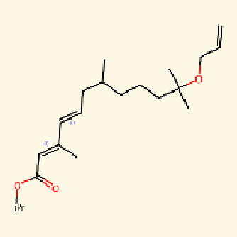 C=CCOC(C)(C)CCCC(C)C/C=C/C(C)=C/C(=O)OC(C)C